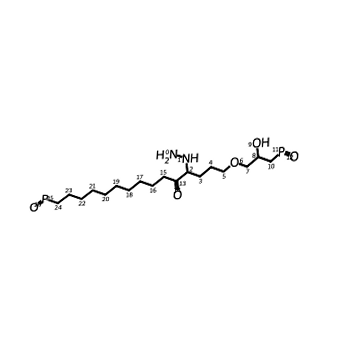 NNC(CCCOCC(O)CP=O)C(=O)CCCCCCCCCCP=O